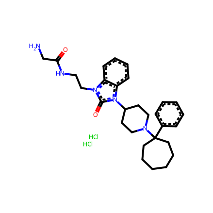 Cl.Cl.NCC(=O)NCCn1c(=O)n(C2CCN(C3(c4ccccc4)CCCCCC3)CC2)c2ccccc21